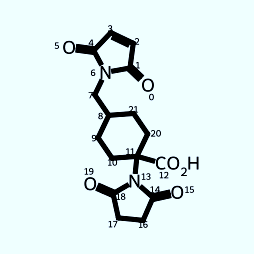 O=C1C=CC(=O)N1CC1CCC(C(=O)O)(N2C(=O)CCC2=O)CC1